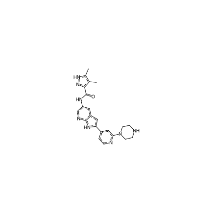 Cc1[nH]nc(C(=O)Nc2cnc3[nH]c(-c4ccnc(N5CCNCC5)c4)cc3c2)c1C